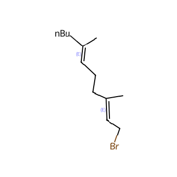 CCCC/C(C)=C/CC/C(C)=C/CBr